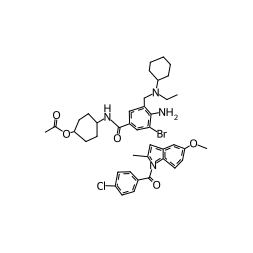 CCN(Cc1cc(C(=O)NC2CCC(OC(C)=O)CC2)cc(Br)c1N)C1CCCCC1.COc1ccc2c(c1)cc(C)n2C(=O)c1ccc(Cl)cc1